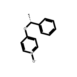 C[C@@H](Oc1cc[n+]([O-])cc1)c1ccccc1